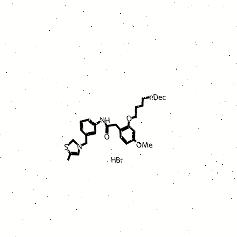 Br.CCCCCCCCCCCCCCOc1cc(OC)ccc1CC(=O)Nc1cccc(CN2C=C(C)SC2)c1